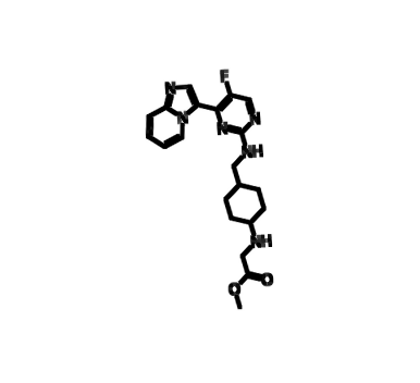 COC(=O)CNC1CCC(CNc2ncc(F)c(-c3cnc4ccccn34)n2)CC1